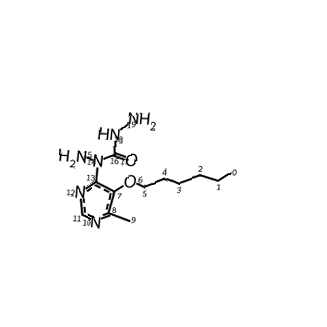 CCCCCCOc1c(C)ncnc1N(N)C(=O)NN